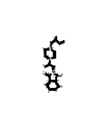 CCC(C)CN1CCN(C(C)CN2C(=O)c3ccccc3C2=O)CC1